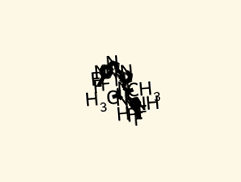 CC1CN(c2ccnc(-c3cnc4cnc(C(F)(F)F)cn34)n2)C(C)C(c2c[nH]c(C(F)(F)F)n2)N1